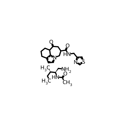 CC[C@H](C)[C@@H](CN)NC(C)=O.O=C(NCc1cscn1)C1CC(=O)C2CCCc3ccn(c32)C1